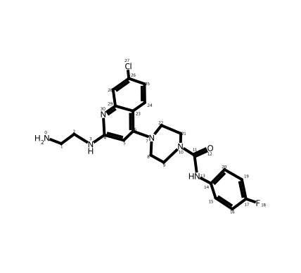 NCCNc1cc(N2CCN(C(=O)Nc3ccc(F)cc3)CC2)c2ccc(Cl)cc2n1